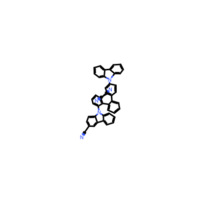 N#Cc1ccc2c(c1)c1ccccc1n2-c1cccc(C#N)c1-c1ccccc1-c1ccc(-n2c3ccccc3c3ccccc32)cc1C#N